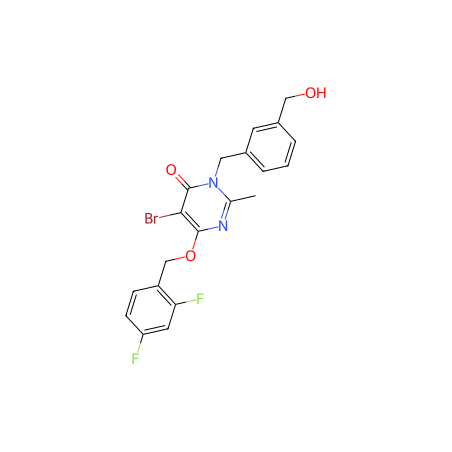 Cc1nc(OCc2ccc(F)cc2F)c(Br)c(=O)n1Cc1cccc(CO)c1